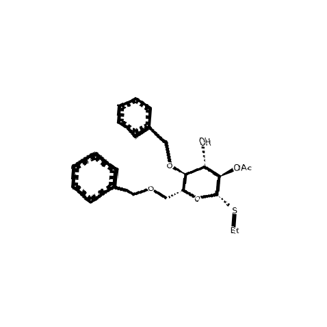 CCS[C@@H]1O[C@H](COCc2ccccc2)[C@@H](OCc2ccccc2)[C@H](O)[C@H]1OC(C)=O